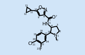 CN1CCC(NC(=O)c2cc(C3CC3)on2)C1c1ccc(Cl)c(F)c1